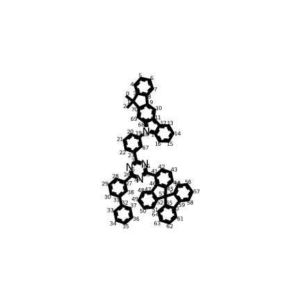 CC1(C)c2ccccc2-c2cc3c4ccccc4n(-c4cccc(-c5nc(-c6cccc(-c7ccccc7)c6)nc(-c6cccc7c6-c6ccccc6C76c7ccccc7-c7ccccc76)n5)c4)c3cc21